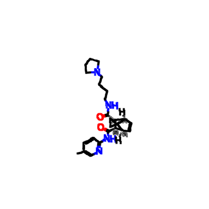 Cc1ccc(NC(=O)[C@H]2[C@H](C(=O)NCCCCN3CCCC3)[C@H]3C=C[C@@H]2C32CC2)nc1